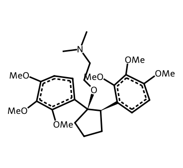 COc1ccc([C@H]2CCC[C@]2(OCCN(C)C)c2ccc(OC)c(OC)c2OC)c(OC)c1OC